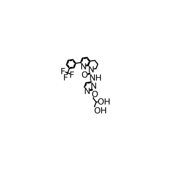 O=C(Nc1ccnc(OCC(O)CO)n1)N1CCCc2ccc(-c3cccc(C(F)(F)F)c3)nc21